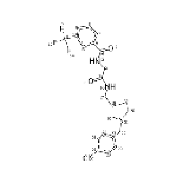 O=C(CNC(=O)c1cccc(C(F)(F)F)c1)NCC1CCN(Cc2ccc(Cl)cc2)C1